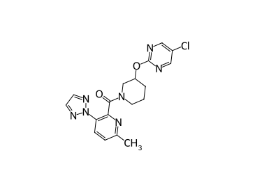 Cc1ccc(-n2nccn2)c(C(=O)N2CCCC(Oc3ncc(Cl)cn3)C2)n1